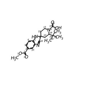 COC(=O)c1ccc(NC2(C#N)CCN(C(=O)O)C(C(C)(C)C)C2)cc1